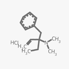 C=CC(CC)(Cc1ccccc1)N(C)C.Cl